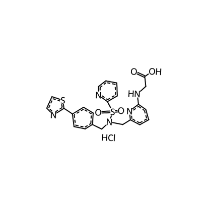 Cl.O=C(O)CNc1cccc(CN(Cc2ccc(-c3nccs3)cc2)S(=O)(=O)c2ccccn2)n1